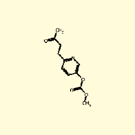 COC(=O)Oc1ccc(CCC(C)=O)nc1